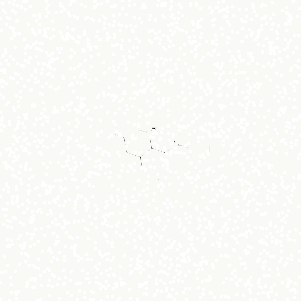 O=C(O)CCC(C(=O)O)C(CNC(=O)O)[PH](=O)O